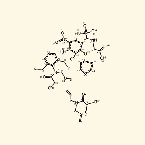 C=CCN(CC=C)C(=O)C(Cl)Cl.CCc1cccc(CC)c1N(COC)C(=O)CCl.Nc1c([N+](=O)[O-])ccc(Oc2ccccc2)c1Cl.O=C(O)CNCP(=O)(O)O